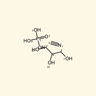 C#N.O=P(O)(O)O.OCC(O)CO